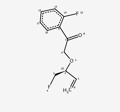 C=C[C@@H](CF)OCC(=O)c1ccccc1F